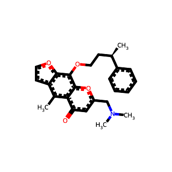 Cc1c2ccoc2c(OCC[C@@H](C)c2ccccc2)c2oc(CN(C)C)cc(=O)c12